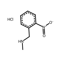 CNCc1ccccc1[N+](=O)[O-].Cl